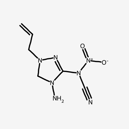 C=CCN1CN(N)C(N(C#N)[N+](=O)[O-])=N1